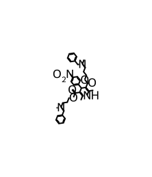 CC1=C(C(=O)OCCCN(C)Cc2ccccc2)C(c2ccc([N+](=O)[O-])cc2)C(C(=O)OCCCN(C)Cc2ccccc2)=C(C)N1